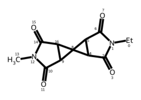 CCN1C(=O)C2C(C1=O)C21C2C(=O)N(C)C(=O)C21